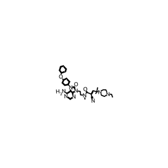 CCN1CCN(C(C)(C)C=C(C#N)C(=O)N(C)CCn2c(=O)n(-c3ccc(Oc4ccccc4)cc3)c3c(N)ncnc32)CC1